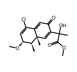 COC(=O)C(C)(O)C1=C[C@@]2(C)C(=CC1=O)C(Cl)=C[C@H](OC)[C@@H]2C